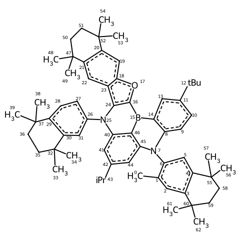 Cc1cc2c(cc1N1c3ccc(C(C)(C)C)cc3B3c4oc5cc6c(cc5c4N(c4ccc5c(c4)C(C)(C)CCC5(C)C)c4cc(C(C)C)cc1c43)C(C)(C)CCC6(C)C)C(C)(C)CCC2(C)C